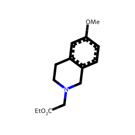 CCOC(=O)CN1CCc2cc(OC)ccc2C1